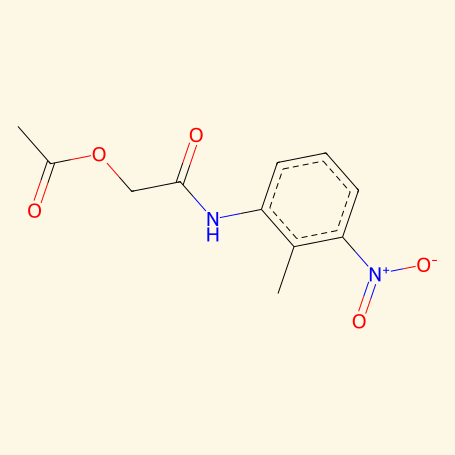 CC(=O)OCC(=O)Nc1cccc([N+](=O)[O-])c1C